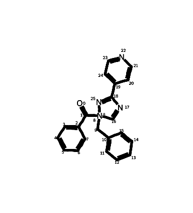 O=C(c1ccccc1)[N+]1(Cc2ccccc2)C=NC(c2ccncc2)=N1